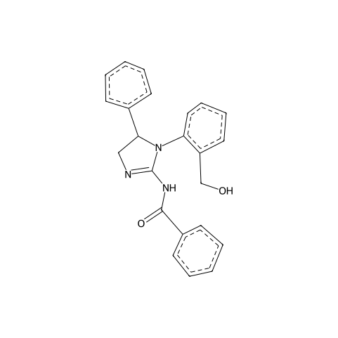 O=C(NC1=NCC(c2ccccc2)N1c1ccccc1CO)c1ccccc1